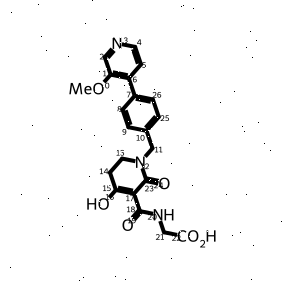 COc1cnccc1-c1ccc(CN2CCC(O)=C(C(=O)NCC(=O)O)C2=O)cc1